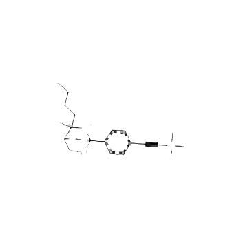 CCCCC1(C)OC2(c3ccc(C#C[Si](C)(C)C)cc3)OCC1CO2